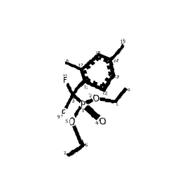 CCOP(=O)(OCC)C(F)(F)c1ccc(C)cc1C